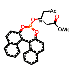 COC(=O)C[C@@H](CC(C)=O)Op1oc2ccc3ccccc3c2c2c(ccc3ccccc32)o1